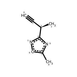 C#C[C@@H](C)c1noc(C)n1